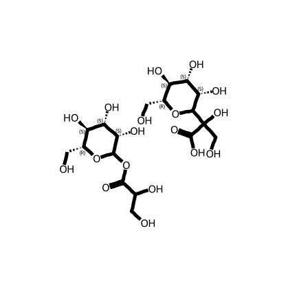 O=C(O)C(O)(CO)C1O[C@H](CO)[C@@H](O)[C@H](O)[C@@H]1O.O=C(OC1O[C@H](CO)[C@@H](O)[C@H](O)[C@@H]1O)C(O)CO